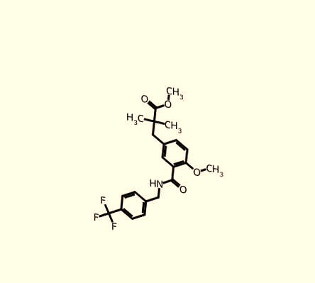 COC(=O)C(C)(C)Cc1ccc(OC)c(C(=O)NCc2ccc(C(F)(F)F)cc2)c1